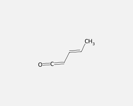 CC=CC=C=O